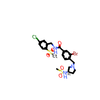 CCS(=O)(=O)c1ccc(Cl)cc1CNC(=O)c1ccc(CN2CC[C@@H](NS(C)(=O)=O)C2)c(Br)c1